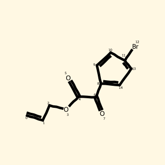 C=CCOC(=O)C(=O)c1ccc(Br)cc1